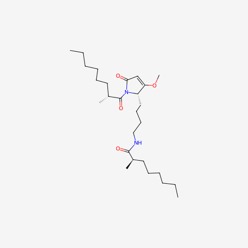 CCCCCC[C@@H](C)C(=O)NCCCC[C@H]1C(OC)=CC(=O)N1C(=O)[C@H](C)CCCCCC